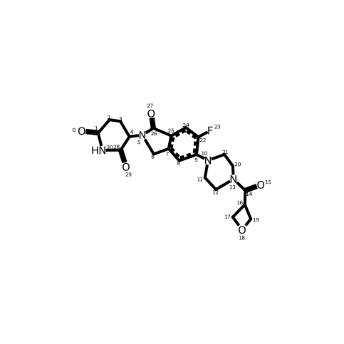 O=C1CCC(N2Cc3cc(N4CCN(C(=O)C5COC5)CC4)c(F)cc3C2=O)C(=O)N1